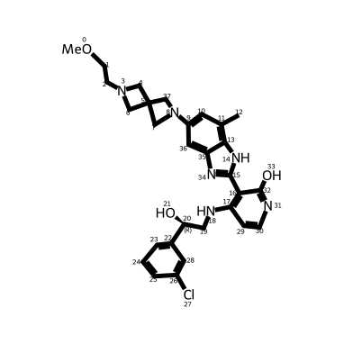 COCCN1CC2(C1)CN(c1cc(C)c3[nH]c(-c4c(NC[C@H](O)c5cccc(Cl)c5)ccnc4O)nc3c1)C2